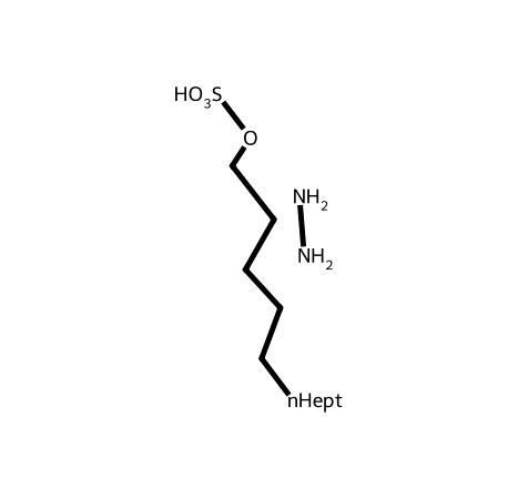 CCCCCCCCCCCCOS(=O)(=O)O.NN